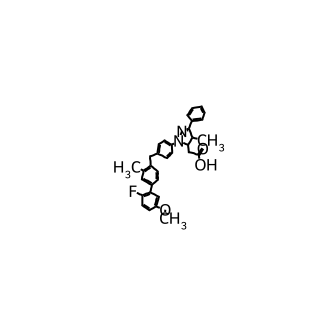 COc1ccc(F)c(-c2ccc(Cc3ccc(N4N=C(c5ccccc5)C(C)C4CC(=O)O)cc3)c(C)c2)c1